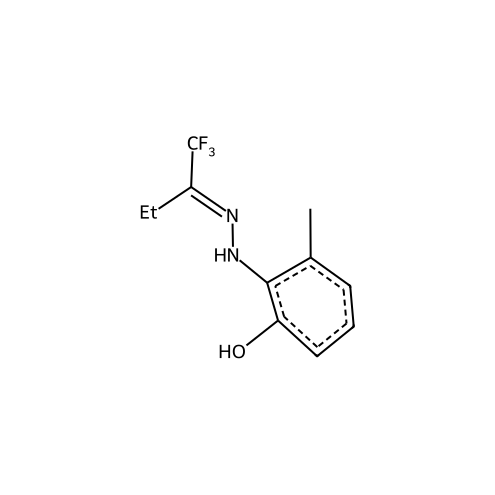 CC/C(=N\Nc1c(C)cccc1O)C(F)(F)F